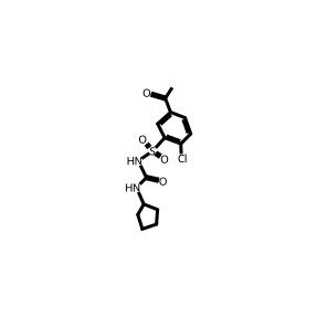 CC(=O)c1ccc(Cl)c(S(=O)(=O)NC(=O)NC2CCCC2)c1